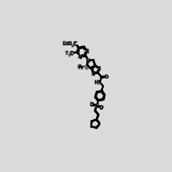 CCOC(=O)c1cnc(N2Cc3sc(C(=O)NCc4ccc(S(=O)(=O)CCC5CCCC5)cc4)nc3[C@@H]2C(C)C)nc1C(F)(F)F